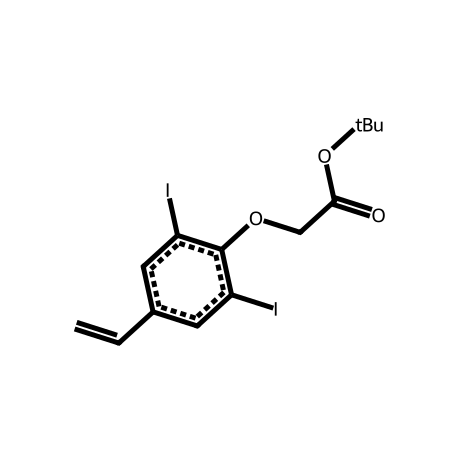 C=Cc1cc(I)c(OCC(=O)OC(C)(C)C)c(I)c1